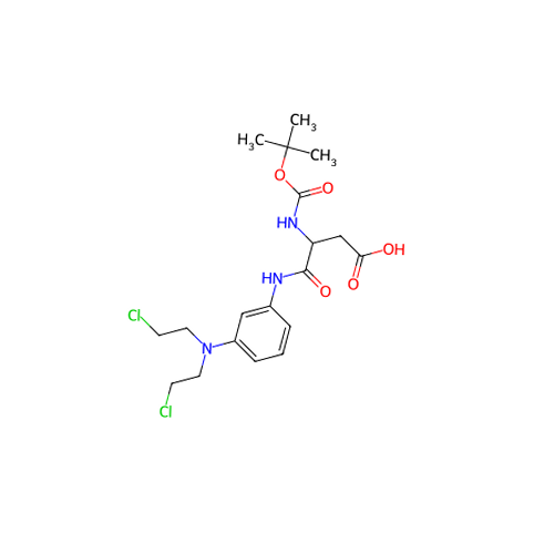 CC(C)(C)OC(=O)NC(CC(=O)O)C(=O)Nc1cccc(N(CCCl)CCCl)c1